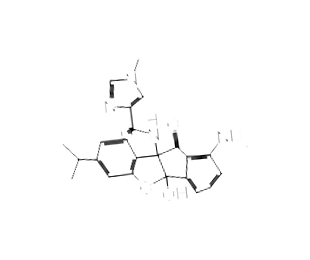 CC(C)c1ccc2c(c1)OC1(O)c3cccc(N)c3C(=O)C21NC(=O)c1cn(C)cn1